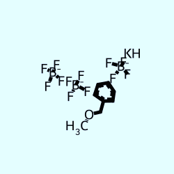 COCc1ccccc1.F[B-](F)(F)F.F[B-](F)(F)F.F[B-](F)(F)F.[KH]